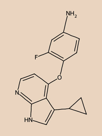 Nc1ccc(Oc2ccnc3[nH]cc(C4CC4)c23)c(F)c1